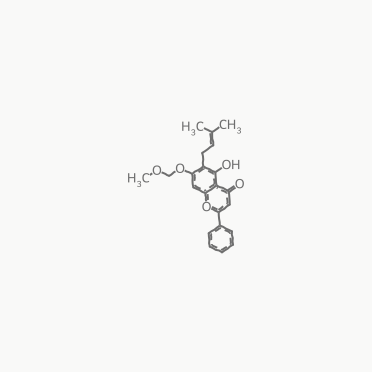 COCOc1cc2oc(-c3ccccc3)cc(=O)c2c(O)c1CC=C(C)C